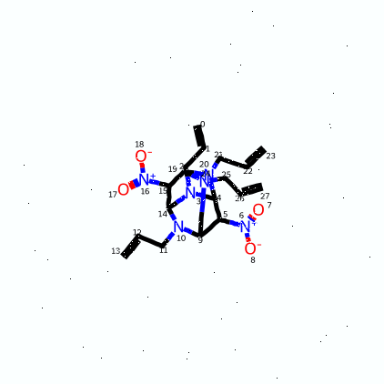 C=CCN1C2C([N+](=O)[O-])C3N(CC=C)C1C([N+](=O)[O-])C(N2CC=C)N3CC=C